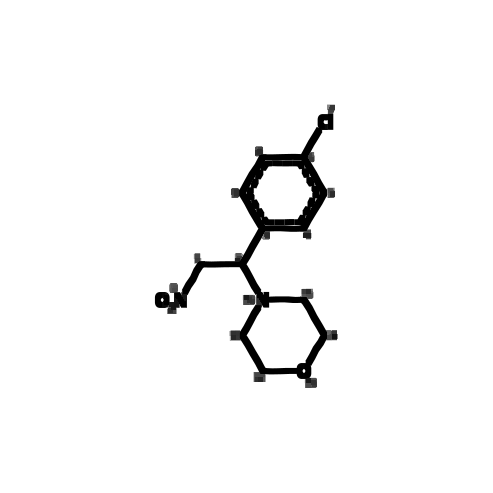 O=[N+]([O-])CC(c1ccc(Cl)cc1)N1CCOCC1